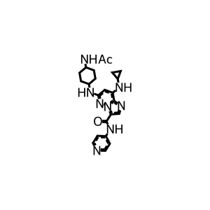 CC(=O)NC1CCC(Nc2cc(NC3CC3)c3ncc(C(=O)Nc4ccncc4)n3n2)CC1